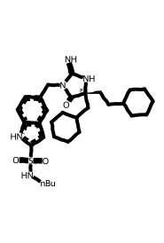 CCCCNS(=O)(=O)c1cc2cc(CN3C(=N)N[C@](CCC4CCCCC4)(CC4CCCCC4)C3=O)ccc2[nH]1